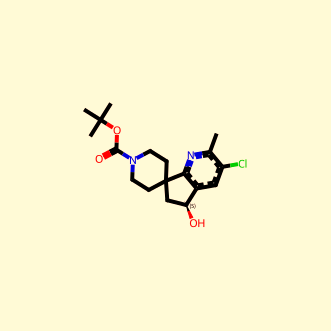 Cc1nc2c(cc1Cl)[C@@H](O)CC21CCN(C(=O)OC(C)(C)C)CC1